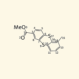 COC(=O)c1ccc2c(c1)Sc1cccc(C)c1S2